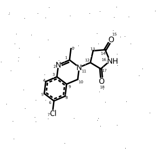 CC1=Nc2ccc(Cl)cc2CN1C1CC(=O)NC1=O